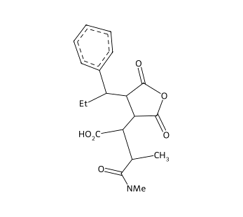 CCC(c1ccccc1)C1C(=O)OC(=O)C1C(C(=O)O)C(C)C(=O)NC